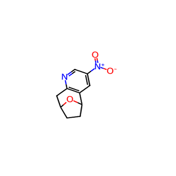 O=[N+]([O-])c1cnc2c(c1)C1CCC(C2)O1